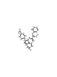 CCN(Cc1ccccn1)C(=O)Cc1c(-c2ccc(OC)cc2)nc2cc(C)ccn12